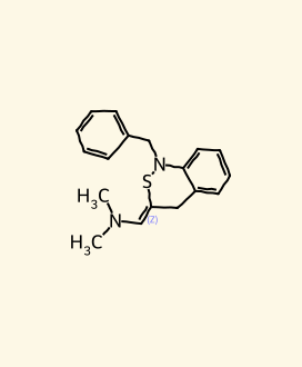 CN(C)/C=C1/Cc2ccccc2N(Cc2ccccc2)S1